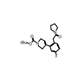 CC(C)(C)OC(=O)N1CC=C(c2cc(F)ccc2CC(=O)N2CCCC2)CC1